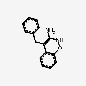 NC1=C(Cc2ccccc2)c2ccccc2ON1